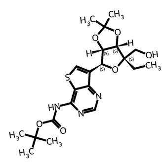 CC[C@@]1(CO)O[C@@H](c2csc3c(NC(=O)OC(C)(C)C)ncnc23)[C@@H]2OC(C)(C)O[C@@H]21